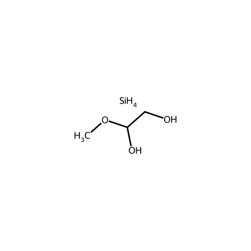 COC(O)CO.[SiH4]